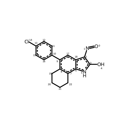 O=Nc1c(O)[nH]c2c3c(c(-c4ccc(Cl)cc4)cc12)CCCC3